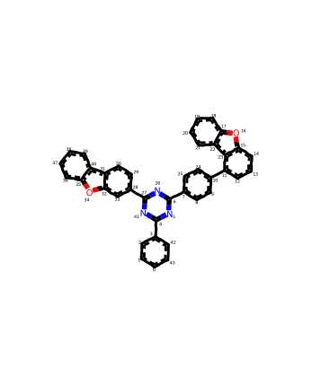 c1ccc(-c2nc(-c3ccc(-c4cccc5oc6ccccc6c45)cc3)nc(-c3ccc4c(c3)oc3ccccc34)n2)cc1